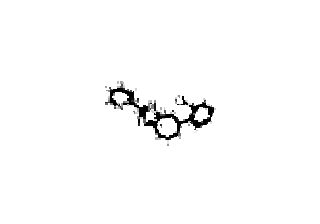 Clc1ccccc1C1CCCc2oc(-c3ccccn3)nc2C1